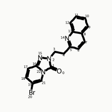 O=c1n(CCc2ccc3ccccc3n2)nc2ccc(Br)cn12